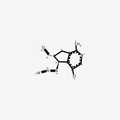 Cc1ncc(Cl)c2c1C[C@@H](C=O)[C@@H]2N=[N+]=[N-]